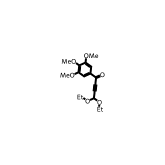 CCOC(C#CC(=O)c1cc(OC)c(OC)c(OC)c1)OCC